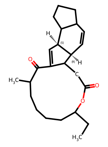 CCC1CCCCC(C)C(=O)C2=C[C@H]3C4CCCC4C=C[C@H]3C2CC(=O)O1